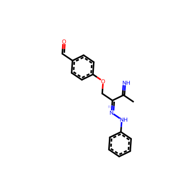 CC(=N)/C(COc1ccc(C=O)cc1)=N\Nc1ccccc1